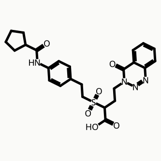 O=C(Nc1ccc(CCS(=O)(=O)C(CCn2nnc3ccccc3c2=O)C(=O)O)cc1)C1CCCC1